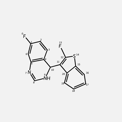 Fc1ccc2c(c1)N=CNC2c1c(F)sc2ccccc12